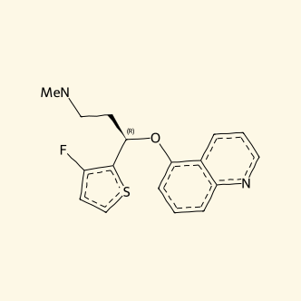 CNCC[C@@H](Oc1cccc2ncccc12)c1sccc1F